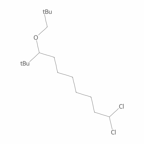 CC(C)(C)COC(CCCCCCC(Cl)Cl)C(C)(C)C